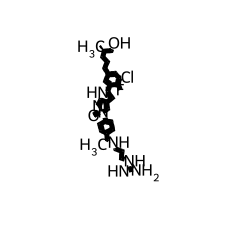 C[C@@H](CO)CCCc1cc(Cl)c(F)c(-c2cc3cn(-c4ccc([C@H](C)NCCCNC(=N)N)cc4)c(=O)nc3[nH]2)c1